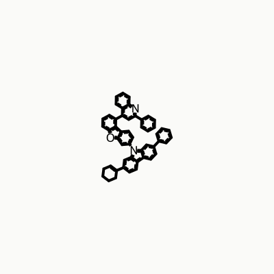 C1=C(c2ccc3c4ccc(-c5ccccc5)cc4n(-c4ccc5c(c4)oc4cccc(-c6cc(-c7ccccc7)nc7ccccc67)c45)c3c2)CCCC1